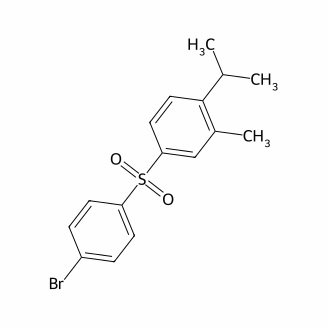 Cc1cc(S(=O)(=O)c2ccc(Br)cc2)ccc1C(C)C